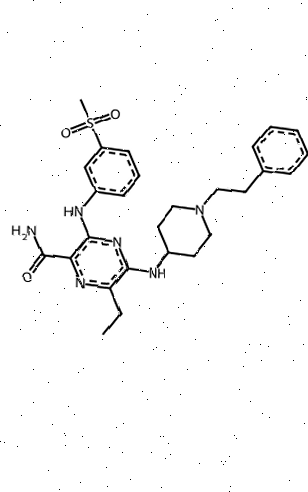 CCc1nc(C(N)=O)c(Nc2cccc(S(C)(=O)=O)c2)nc1NC1CCN(CCc2ccccc2)CC1